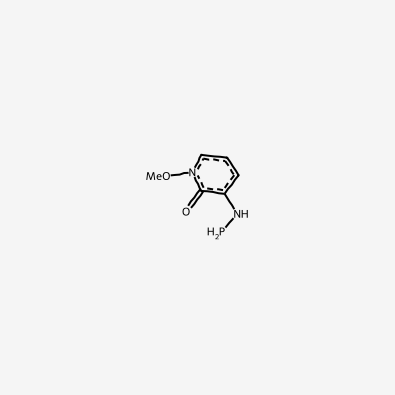 COn1cccc(NP)c1=O